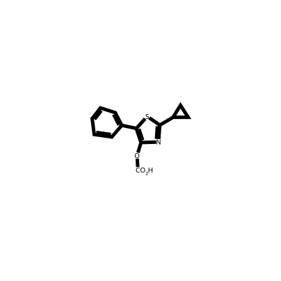 O=C(O)Oc1nc(C2CC2)sc1-c1ccccc1